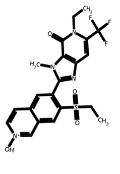 CCn1c(C(F)(F)F)cc2nc(-c3cc4cc[n+](O)cc4cc3S(=O)(=O)CC)n(C)c2c1=O